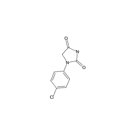 O=C1CN(c2ccc(Cl)cc2)C(=O)[N]1